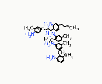 CCCCc1ccc(CCCC)c(N)c1.Cc1ccc(C)c(N)c1.Cc1cccc(N)c1.Cc1cccc(N)c1C.Cc1ccccc1N